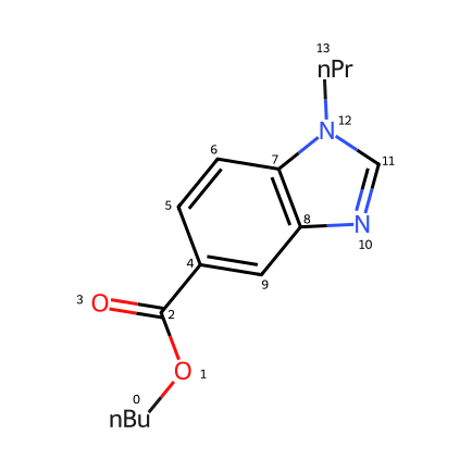 CCCCOC(=O)c1ccc2c(c1)ncn2CCC